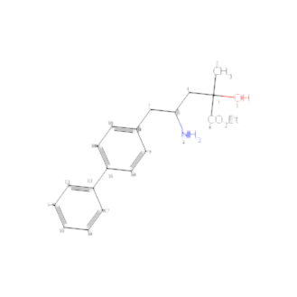 CCOC(=O)C(C)(O)CC(N)Cc1ccc(-c2ccccc2)cc1